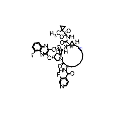 Cc1nc2cccc(F)c2nc1O[C@@H]1C[C@H]2C(=O)N[C@]3(C(=O)NS(=O)(=O)C4(C)CC4)C[C@H]3/C=C\CCCCC[C@H](NC(=O)c3ccncc3F)C(=O)N2C1